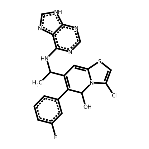 CC(Nc1ncnc2[nH]cnc12)C1=C(c2cccc(F)c2)C(O)N2C(Cl)=CSC2=C1